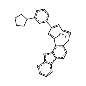 C\C1=C/C(c2cccc(C3CCCC3)c2)=C\C=N\Cc2ccc3c(oc4ncccc43)c21